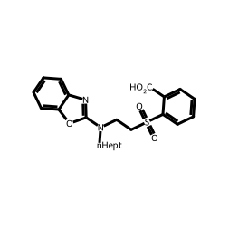 CCCCCCCN(CCS(=O)(=O)c1ccccc1C(=O)O)c1nc2ccccc2o1